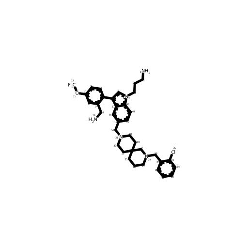 NCCCn1cc(-c2ccc(OC(F)(F)F)cc2CN)c2cc(CN3CCC4(CCCN(Cc5ccccc5Cl)C4)CC3)ccc21